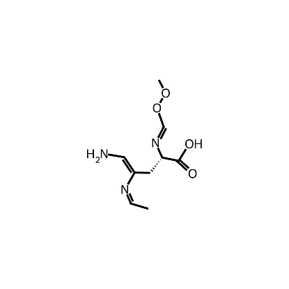 C/C=N\C(=C/N)C[C@H](/N=C/OOC)C(=O)O